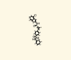 O=C(Nc1cc2c(Cl)cncc2s1)[C@@H]1C[C@H]1c1ccc(S(=O)(=O)Nc2ccccn2)cc1